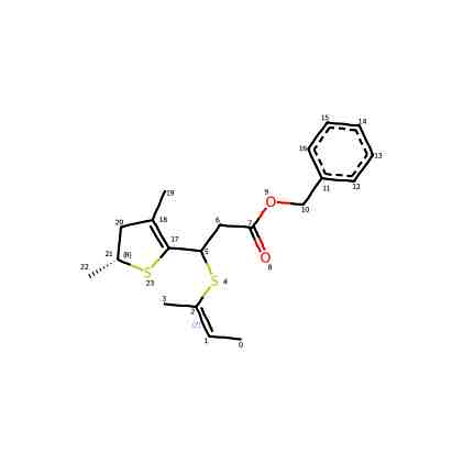 C/C=C(/C)SC(CC(=O)OCc1ccccc1)C1=C(C)C[C@@H](C)S1